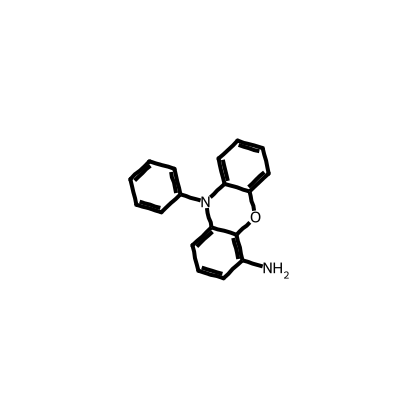 Nc1cccc2c1Oc1ccccc1N2c1ccccc1